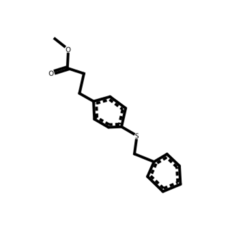 COC(=O)CCc1ccc(SCc2ccccc2)cc1